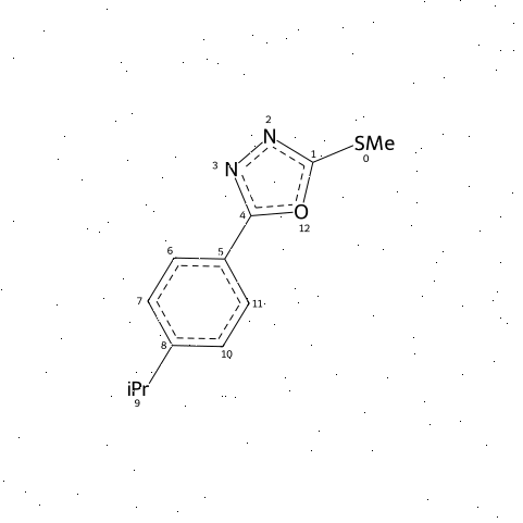 CSc1nnc(-c2ccc(C(C)C)cc2)o1